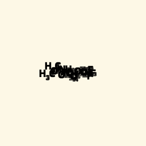 COCC(C)NC(=O)N1CCc2c(cccc2Oc2ccc(C(F)(F)F)cc2)C1